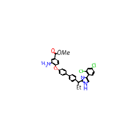 CCC(c1ccc(-c2ccc(Oc3ccc(C(=O)OC)cc3N)cc2)cc1)c1nc(-c2ccc(Cl)cc2Cl)c[nH]1